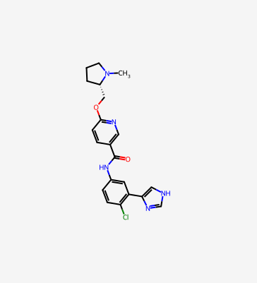 CN1CCC[C@H]1COc1ccc(C(=O)Nc2ccc(Cl)c(-c3c[nH]cn3)c2)cn1